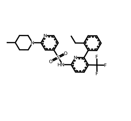 CCc1ccccc1-c1nc(NS(=O)(=O)c2ccnc(N3CCC(C)CC3)c2)ccc1C(F)(F)F